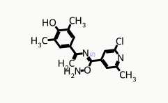 C=C(/N=C(\ON)c1cc(C)nc(Cl)c1)c1cc(C)c(O)c(C)c1